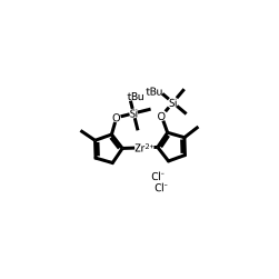 CC1=CC[C]([Zr+2][C]2=C(O[Si](C)(C)C(C)(C)C)C(C)=CC2)=C1O[Si](C)(C)C(C)(C)C.[Cl-].[Cl-]